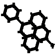 Brc1cc2cccc3c(-c4ccccc4)cc4cccc1c4c23